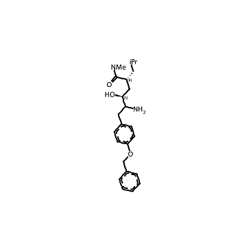 CNC(=O)[C@H](CC(C)C)C[C@H](O)C(N)Cc1ccc(OCc2ccccc2)cc1